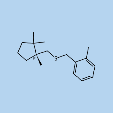 Cc1ccccc1CSC[C@]1(C)CCCC1(C)C